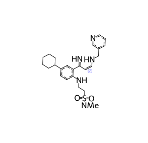 CNS(=O)(=O)CCNc1ccc(C2CCCCC2)cc1C(=N)/C=C\NCc1cccnc1